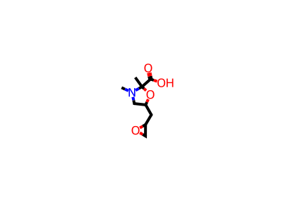 CN1CC(CC2CO2)OC1(C)C(=O)O